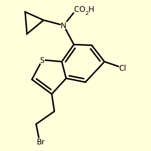 O=C(O)N(c1cc(Cl)cc2c(CCBr)csc12)C1CC1